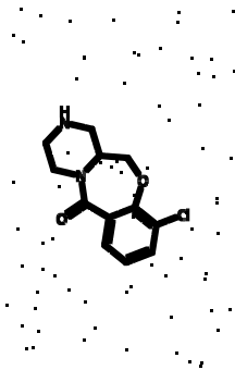 O=C1c2cccc(Cl)c2OCC2CNCCN12